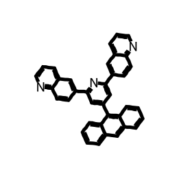 c1cnc2ccc(-c3cc(-c4c5ccccc5cc5ccccc45)cc(-c4ccc5ncccc5c4)n3)cc2c1